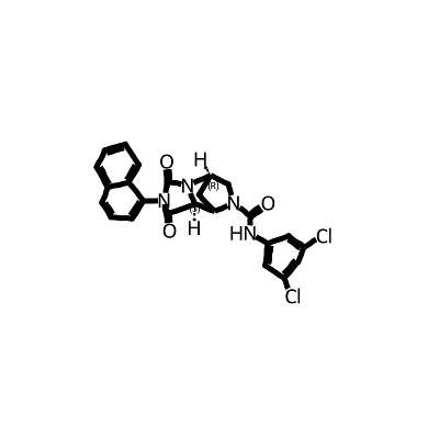 O=C1[C@@H]2C3C[C@H](CN3C(=O)Nc3cc(Cl)cc(Cl)c3)N2C(=O)N1c1cccc2ccccc12